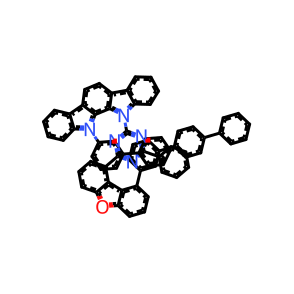 c1ccc(-c2ccc(-c3cccc(-c4cccc5oc6cccc(-c7nc(-c8ccccc8)nc(-n8c9ccccc9c9ccc%10c%11ccccc%11n(-c%11cccc(-c%12ccccc%12)c%11)c%10c98)n7)c6c45)c3)cc2)cc1